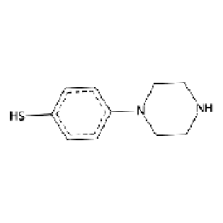 Sc1ccc(N2CCNCC2)cc1